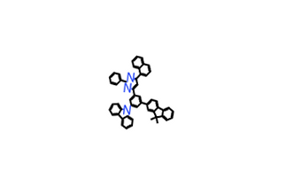 CC1(C)c2ccccc2-c2ccc(-c3cc(-c4cc(-c5cccc6ccccc56)nc(-c5ccccc5)n4)cc(-n4c5ccccc5c5ccccc54)c3)cc21